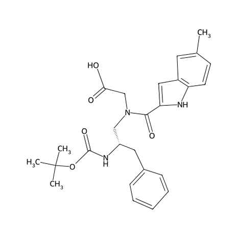 Cc1ccc2[nH]c(C(=O)N(CC(=O)O)C[C@H](Cc3ccccc3)NC(=O)OC(C)(C)C)cc2c1